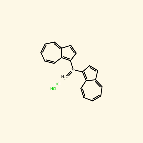 Cl.Cl.[CH2]=[Zr]([c]1ccc2cccccc1-2)[c]1ccc2cccccc1-2